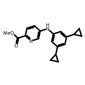 COC(=O)c1ccc(Nc2cc(C3CC3)cc(C3CC3)c2)cn1